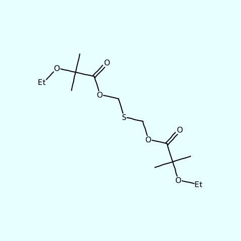 CCOC(C)(C)C(=O)OCSCOC(=O)C(C)(C)OCC